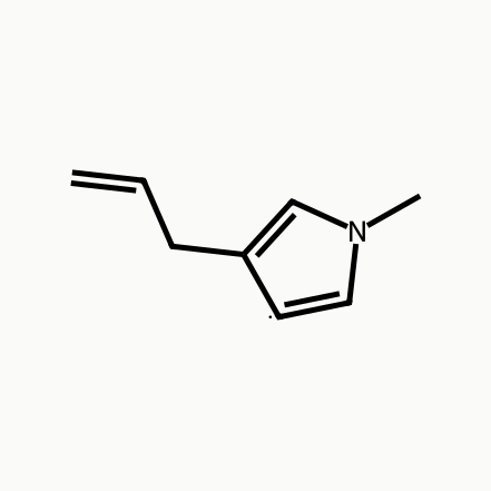 C=CCc1[c]cn(C)c1